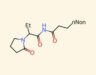 CCCCCCCCCCCC(=O)NC(=O)C(CC)N1CCCC1=O